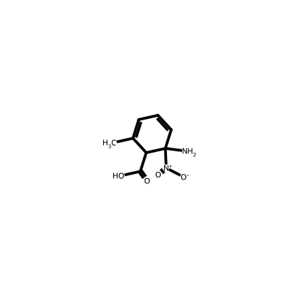 CC1=CC=CC(N)([N+](=O)[O-])C1C(=O)O